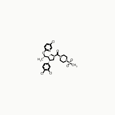 C[C@H](Oc1ccc(Cl)cn1)[C@@H]1CN(C(=O)N2CCN(S(C)(=O)=O)CC2)C[C@@H]1c1ccc(Cl)c(Cl)c1